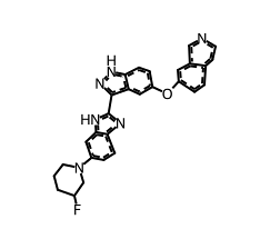 FC1CCCN(c2ccc3nc(-c4n[nH]c5ccc(Oc6ccc7ccncc7c6)cc45)[nH]c3c2)C1